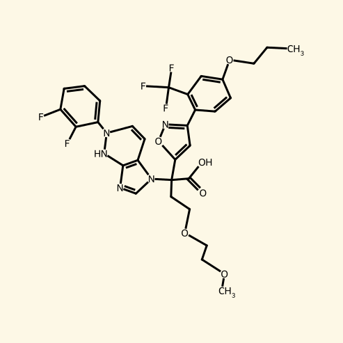 CCCOc1ccc(-c2cc(C(CCOCCOC)(C(=O)O)n3cnc4c3C=CN(c3cccc(F)c3F)N4)on2)c(C(F)(F)F)c1